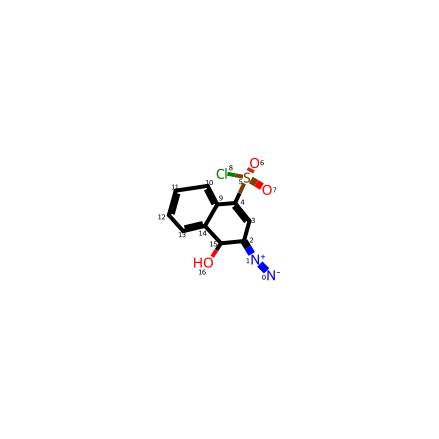 [N-]=[N+]=C1C=C(S(=O)(=O)Cl)c2ccccc2C1O